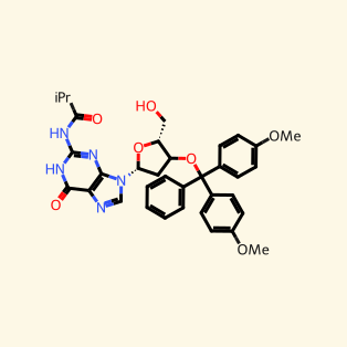 COc1ccc(C(OC2C[C@H](n3cnc4c(=O)[nH]c(NC(=O)C(C)C)nc43)O[C@@H]2CO)(c2ccccc2)c2ccc(OC)cc2)cc1